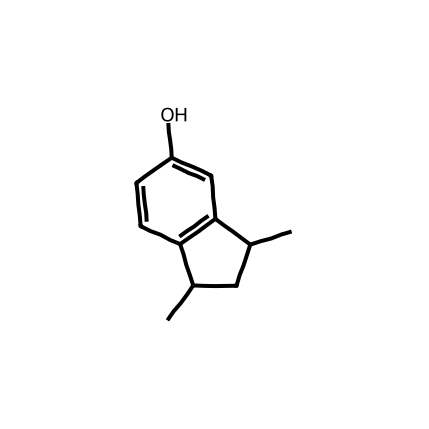 CC1CC(C)c2cc(O)ccc21